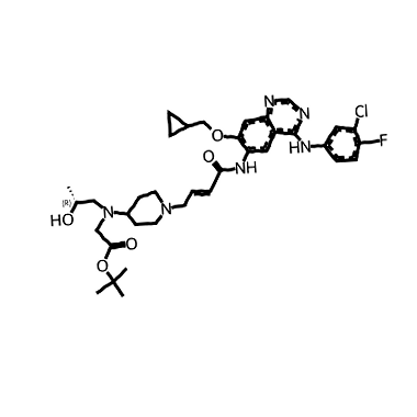 C[C@@H](O)CN(CC(=O)OC(C)(C)C)C1CCN(CC=CC(=O)Nc2cc3c(Nc4ccc(F)c(Cl)c4)ncnc3cc2OCC2CC2)CC1